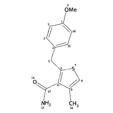 COc1ccc(Cc2scc(C)c2C(N)=O)cc1